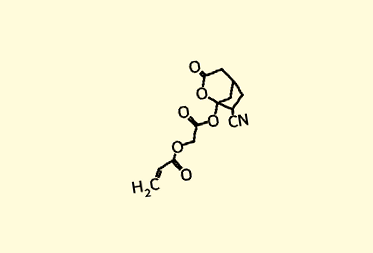 C=CC(=O)OCC(=O)OC12CC(CC(=O)O1)CC2C#N